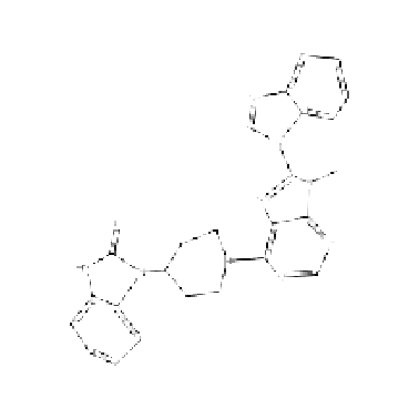 Cn1c(-n2cnc3ccccc32)nc2c(N3CCC(n4c(=O)[nH]c5ccccc54)CC3)ncnc21